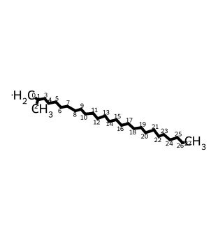 [CH2]C(C)CCCCCCCCCCCCCCCCCCCCCCCCC